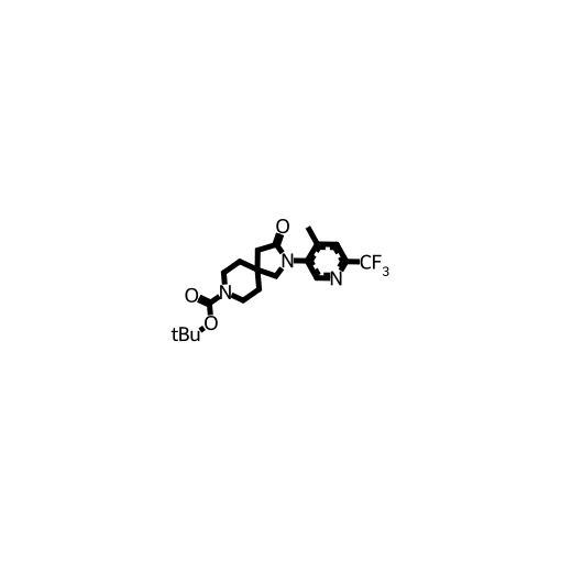 Cc1cc(C(F)(F)F)ncc1N1CC2(CCN(C(=O)OC(C)(C)C)CC2)CC1=O